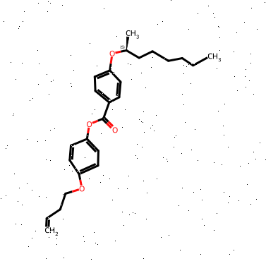 C=CCCOc1ccc(OC(=O)c2ccc(O[C@@H](C)CCCCCC)cc2)cc1